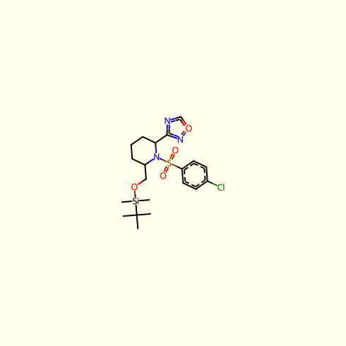 CC(C)(C)[Si](C)(C)OCC1CCCC(c2ncon2)N1S(=O)(=O)c1ccc(Cl)cc1